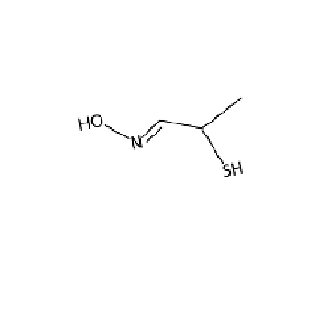 CC(S)C=NO